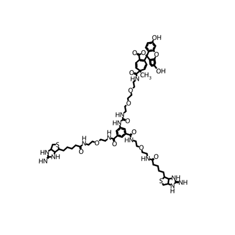 CC1(C(=O)NCCOCCOCCNC(=O)Nc2cc(C(=O)NCCOCCNC(=O)CCCCC3SCC4NC(=N)NC43)cc(C(=O)NCCOCCNC(=O)CCCCC3SCC4NC(=N)NC43)c2)C=CC2=C(C=C1)C1(OC2=O)c2ccc(O)cc2Oc2cc(O)ccc21